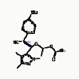 Cc1nn(C)c(/C(OC(C)OC(=O)C(C)(C)C)=C(\C#N)c2ccc(C(C)(C)C)cc2)c1C